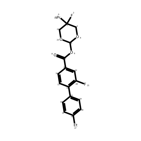 CCCC1(F)COC(OC(=O)c2ccc(-c3ccc(CC)cc3)c(F)c2)OC1